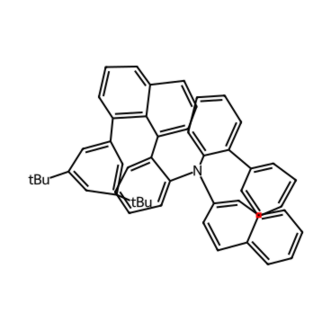 CC(C)(C)c1cc(-c2cccc3cccc(-c4ccccc4N(c4ccc5ccccc5c4)c4ccccc4-c4ccccc4)c23)cc(C(C)(C)C)c1